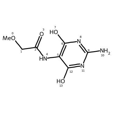 COCC(=O)Nc1c(O)nc(N)nc1O